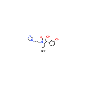 CCC/C=C/C1C(c2cccc(O)c2)=C(O)C(=O)N1CCCn1ccnc1